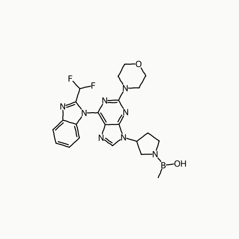 CB(O)N1CCC(n2cnc3c(-n4c(C(F)F)nc5ccccc54)nc(N4CCOCC4)nc32)C1